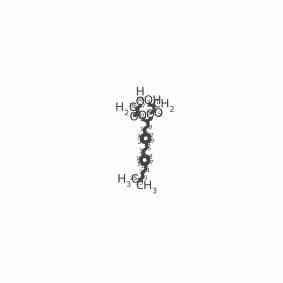 C=C(CO)C(=O)OCC(CCc1ccc(CCc2ccc(CCCC(C)C)cc2)cc1)COC(=O)C(=C)CO